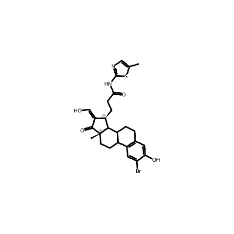 Cc1cnc(NC(=O)CC[C@@H]2C(=CO)C(=O)[C@@]3(C)CCC4c5cc(Br)c(O)cc5CCC4C23)s1